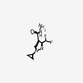 NNC(=O)c1cn(C2CC2)nc1C(F)F